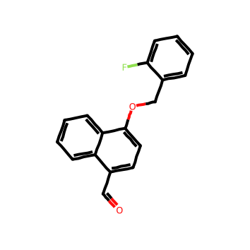 O=Cc1ccc(OCc2ccccc2F)c2ccccc12